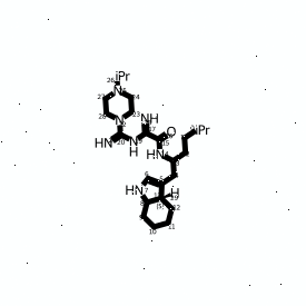 CC(C)CCC(CC1=CNC2CCCC[C@@H]12)NC(=O)C(=N)NC(=N)N1CCN(C(C)C)CC1